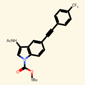 CC(=O)Nc1cn(C(=O)OC(C)(C)C)c2ccc(C#Cc3ccc(C(F)(F)F)cc3)cc12